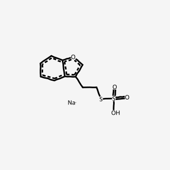 O=S(=O)(O)SCCc1coc2ccccc12.[Na]